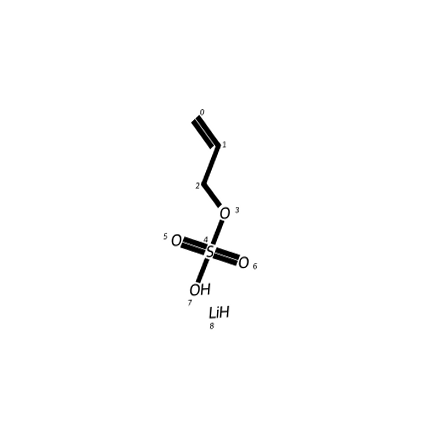 C=CCOS(=O)(=O)O.[LiH]